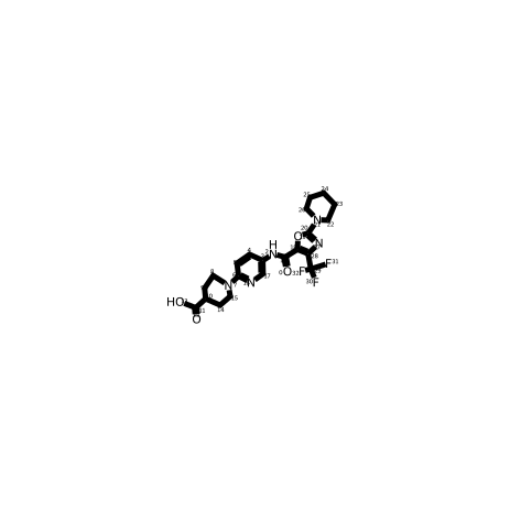 O=C(Nc1ccc(N2CCC(C(=O)O)CC2)nc1)c1oc(N2CCCCC2)nc1C(F)(F)F